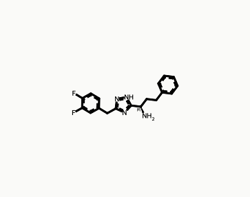 N[C@H](CCc1ccccc1)c1nc(Cc2ccc(F)c(F)c2)n[nH]1